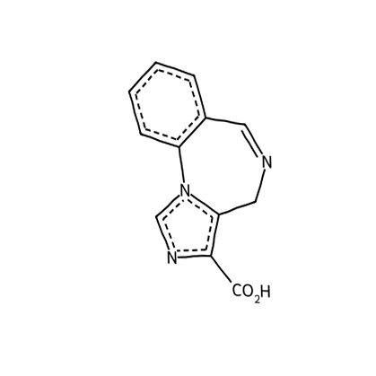 O=C(O)c1ncn2c1CN=Cc1ccccc1-2